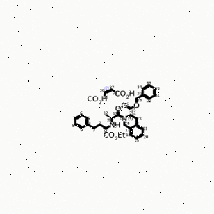 CCOC(=O)[C@H](CCc1ccccc1)N[C@@H](C)C(=O)N1Cc2ccccc2C[C@H]1C(=O)OCc1ccccc1.O=C(O)/C=C\C(=O)O